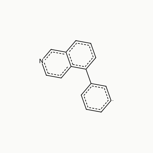 [c]1cccc(-c2cccc3cnccc23)c1